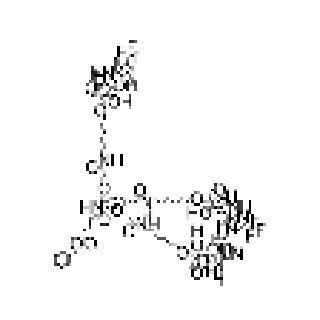 O=C(CCOCC(COCCC(=O)NCCCCCCOC[C@@]12CO[C@@H](O1)[C@H](Nc1cncc(C(F)(F)F)n1)[C@@H](O)[C@H]2O)(COCCC(=O)NCCCCCCOC[C@@]12CO[C@@H](O1)[C@H](Nc1cncc(C(F)(F)F)n1)[C@@H](O)[C@H]2O)NC(=O)CCCC(=O)OCc1ccccc1)NCCCCCCOC[C@@]12CO[C@@H](O1)[C@H](Nc1cncc(C(F)(F)F)n1)[C@@H](O)[C@H]2O